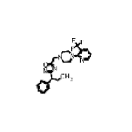 CCC(c1ccccc1)c1noc(CN2CCN(c3ncccc3C(F)(F)F)CC2)n1